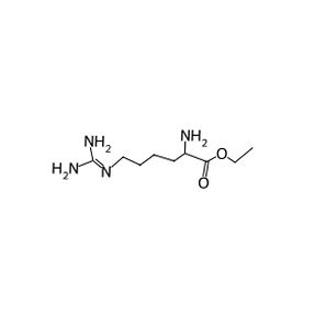 CCOC(=O)C(N)CCCCN=C(N)N